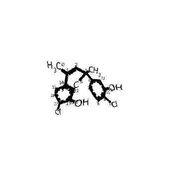 CC(=CC(C)(C)c1ccc(Cl)c(O)c1)c1ccc(Cl)c(O)c1